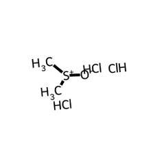 C[S+](C)[O-].Cl.Cl.Cl